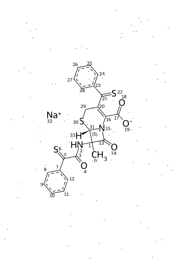 CC1(NC(=O)C(=S)c2ccccc2)C(=O)N2C(C(=O)[O-])=C(C(=S)c3ccccc3)CS[C@H]21.[Na+]